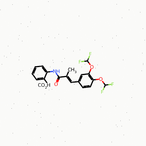 C/C(=C\c1ccc(OC(F)F)c(OC(F)F)c1)C(=O)Nc1ccccc1C(=O)O